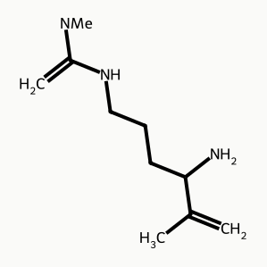 C=C(NC)NCCCC(N)C(=C)C